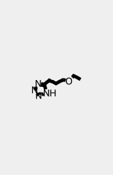 CCOCCCc1nnn[nH]1